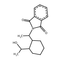 CC(O)C1CCCCC1C(C)N1C(=O)c2ccccc2C1=O